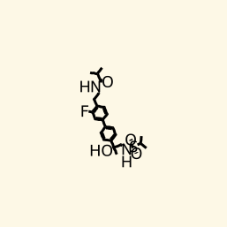 CC(C)C(=O)NCCc1ccc(-c2ccc(C(C)(O)CNS(=O)(=O)C(C)C)cc2)cc1F